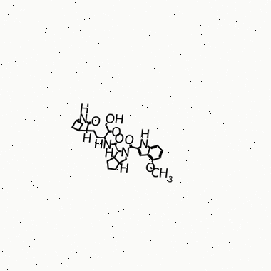 COc1cccc2[nH]c(C(=O)N3C[C@@H]4CCC[C@@H]4[C@H]3C(=O)N[C@@H](CC[C@H]3C(=O)NC4CC3C4)C(=O)CO)cc12